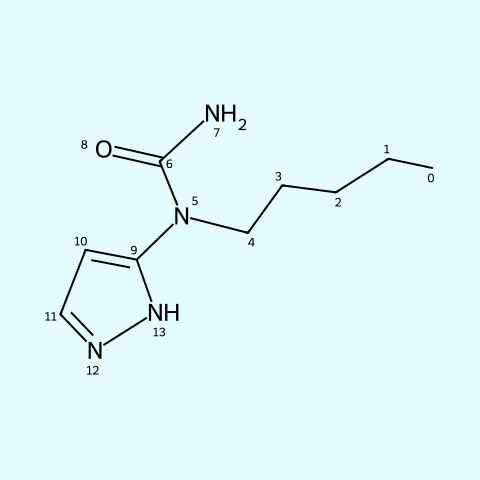 CCCCCN(C(N)=O)c1ccn[nH]1